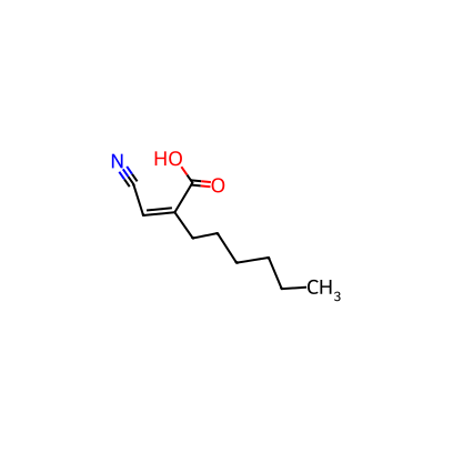 CCCCCCC(=CC#N)C(=O)O